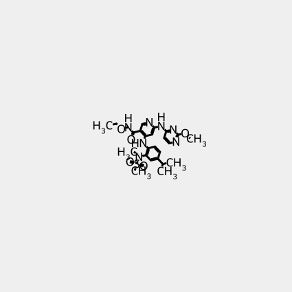 CCONC(=O)c1cnc(Nc2ccnc(OC)n2)cc1Nc1ccc(C(C)C)cc1N(C)S(C)(=O)=O